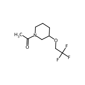 CC(=O)N1CCCC(OCC(F)(F)F)C1